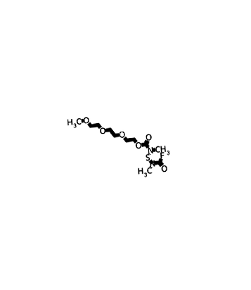 COCCOCCOCCOC(=O)N(C)SN(C)C(=O)F